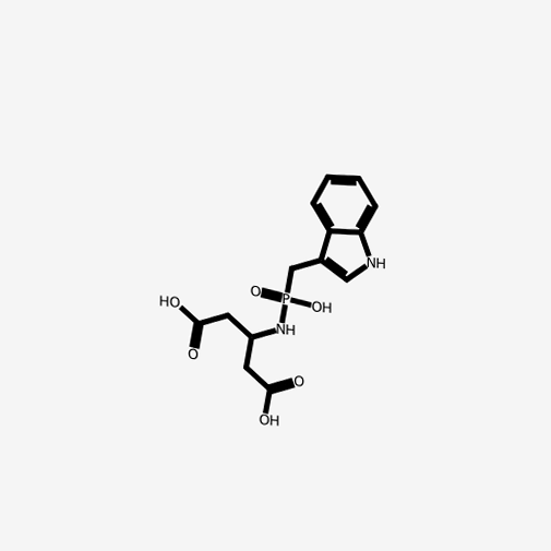 O=C(O)CC(CC(=O)O)NP(=O)(O)Cc1c[nH]c2ccccc12